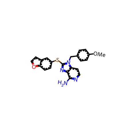 COc1ccc(Cn2c(Sc3ccc4occc4c3)nc3c(N)nccc32)cc1